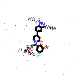 CNc1nn(C(=O)O)c2ccc(-c3ccn(C(CO[Si](C)(C)C(C)(C)C)c4cc(F)cc(Br)c4)c(=O)c3)cc12